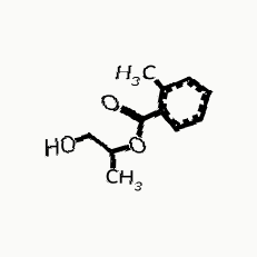 Cc1ccccc1C(=O)OC(C)CO